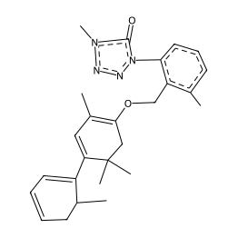 CC1=C(OCc2c(C)cccc2-n2nnn(C)c2=O)CC(C)(C)C(C2=CC=CCC2C)=C1